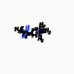 CCc1ncc(C2CCN(C(C)(C)C)CC2)[nH]1